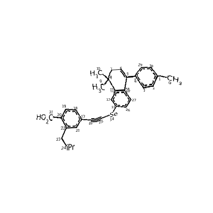 Cc1ccc(C2=CCC(C)(C)c3cc([Se]C#Cc4ccc(C(=O)O)c(CC(C)C)c4)ccc32)cc1